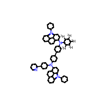 [2H]c1c([2H])c([2H])c(N(c2ccc(-c3ccc(N(c4ccc(-c5ccccn5)cc4)c4ccc5c6c4ccc4cccc(c46)n5-c4ccccc4)cc3)cc2)c2ccc3c4c2ccc2cccc(c24)n3-c2ccccc2)c([2H])c1[2H]